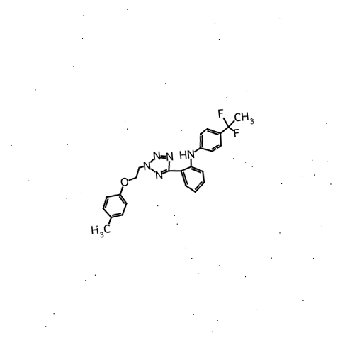 Cc1ccc(OCCn2nnc(-c3ccccc3Nc3ccc(C(C)(F)F)cc3)n2)cc1